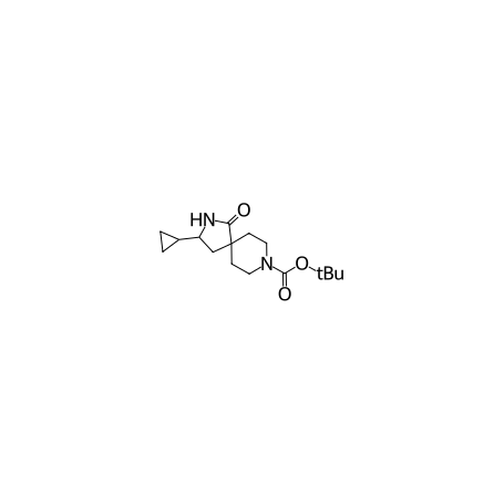 CC(C)(C)OC(=O)N1CCC2(CC1)CC(C1CC1)NC2=O